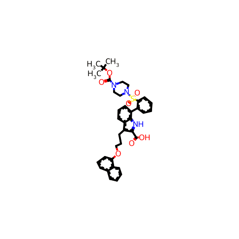 CC(C)(C)OC(=O)N1CCN(S(=O)(=O)c2ccccc2-c2cccc3c(CCCOc4cccc5ccccc45)c(C(=O)O)[nH]c23)CC1